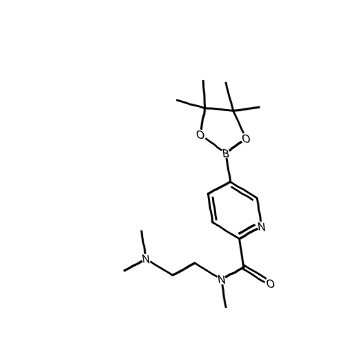 CN(C)CCN(C)C(=O)c1ccc(B2OC(C)(C)C(C)(C)O2)cn1